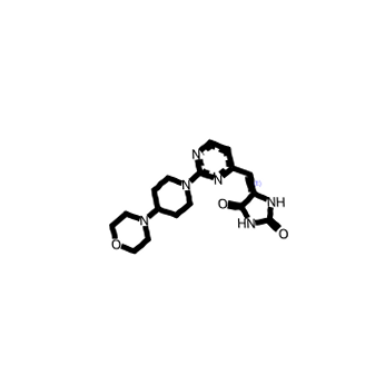 O=C1NC(=O)/C(=C\c2ccnc(N3CCC(N4CCOCC4)CC3)n2)N1